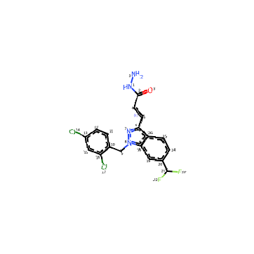 NNC(=O)/C=C/c1nn(Cc2ccc(Cl)cc2Cl)c2cc(C(F)F)ccc12